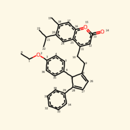 CCOc1ccc(C2C(CCc3cc(=O)oc4cc(C)c(C(C)C)cc34)=CC=C2c2ccccc2)cc1